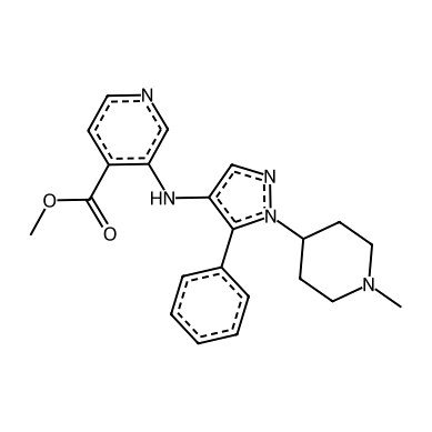 COC(=O)c1ccncc1Nc1cnn(C2CCN(C)CC2)c1-c1ccccc1